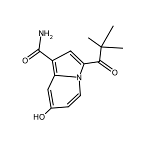 CC(C)(C)C(=O)c1cc(C(N)=O)c2cc(O)ccn12